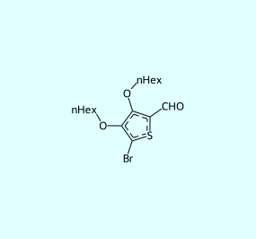 CCCCCCOc1c(Br)sc(C=O)c1OCCCCCC